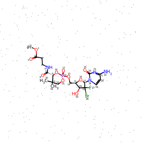 CC(C)OC(=O)CCNC(=O)[C@@H]1OP(=O)(OC[C@H]2O[C@@H](n3ccc(N)nc3=O)C(F)(Br)[C@H]2O)OCC1(C)C